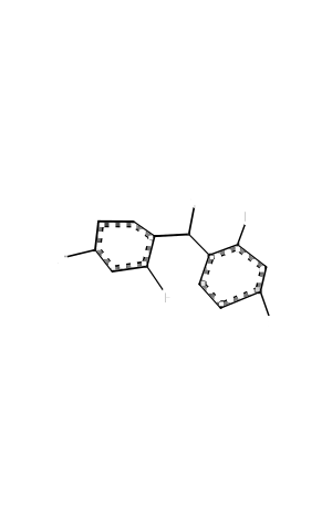 OC(c1ccc(Cl)cc1F)c1ccc(Cl)cc1F